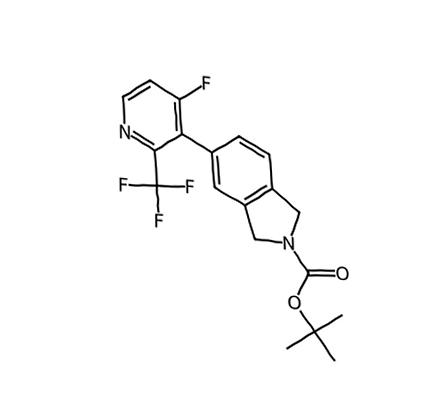 CC(C)(C)OC(=O)N1Cc2ccc(-c3c(F)ccnc3C(F)(F)F)cc2C1